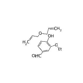 C=CCOCC=C.CCOc1cc(C=O)ccc1O